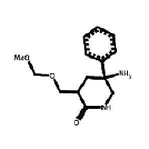 COCOCC1CC(N)(c2ccccc2)CNC1=O